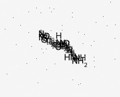 Cn1cnc(S(=O)(=O)C2CCC(c3ccc4c(c3)Nc3nc(=O)n(C5CCN(CCCNC(=N)N)CC5)cc3O4)CC2)c1